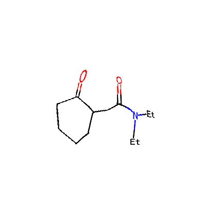 CCN(CC)C(=O)C1CCCCC1=O